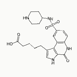 O=C(O)CCCCc1c[nH]c2c(=O)[nH]c3ccc(S(=O)(=O)NC4CCNCC4)cc3c12